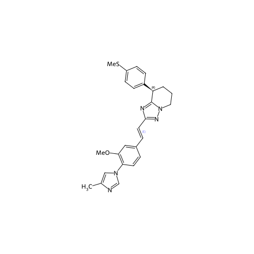 COc1cc(/C=C/c2nc3n(n2)CCC[C@@H]3c2ccc(SC)cc2)ccc1-n1cnc(C)c1